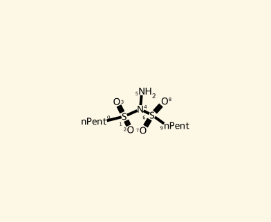 CCCCCS(=O)(=O)N(N)S(=O)(=O)CCCCC